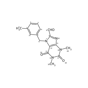 Cc1cccc(Cn2c(C=O)nc3c2c(=O)n(C)c(=O)n3C)c1